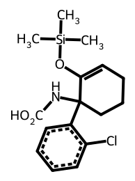 C[Si](C)(C)OC1=CCCCC1(NC(=O)O)c1ccccc1Cl